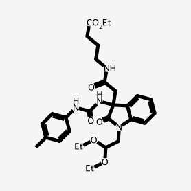 CCOC(=O)CCCNC(=O)CC1(NC(=O)Nc2ccc(C)cc2)C(=O)N(CC(OCC)OCC)c2ccccc21